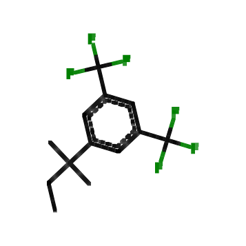 CCC(C)(C)c1cc(C(F)(F)F)cc(C(F)(F)F)c1